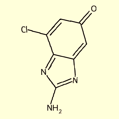 NC1=NC2=CC(=O)C=C(Cl)C2=N1